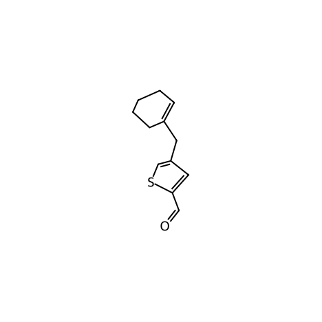 O=Cc1cc(CC2=CCCCC2)cs1